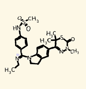 CC/N=C(/c1ccc(NS(C)(=O)=O)cc1)N1CCc2cc(C3=NN(C)C(=O)SC3(C)C)ccc21